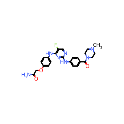 CN1CCN(C(=O)c2ccc(Nc3ncc(F)c(Nc4ccc(OCC(N)=O)cc4)n3)cc2)CC1